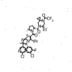 CC[C@@H]1CN(C(=O)C(F)(F)F)C2(CC2)CN1C(=O)[C@H]1CC[C@@H](C)N1C(=O)C1=C(C(C)C)N2C(=N[C@@](C)(c3ccc(Cl)nc3)[C@H]2c2ccc(Cl)c(F)c2)S1